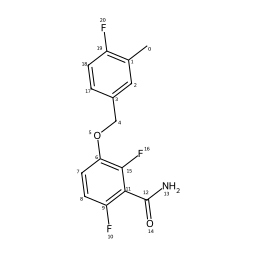 Cc1cc(COc2ccc(F)c(C(N)=O)c2F)ccc1F